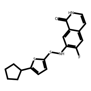 O=c1[nH]ccc2cc(F)c(NSc3ccc(C4CCCC4)s3)cc12